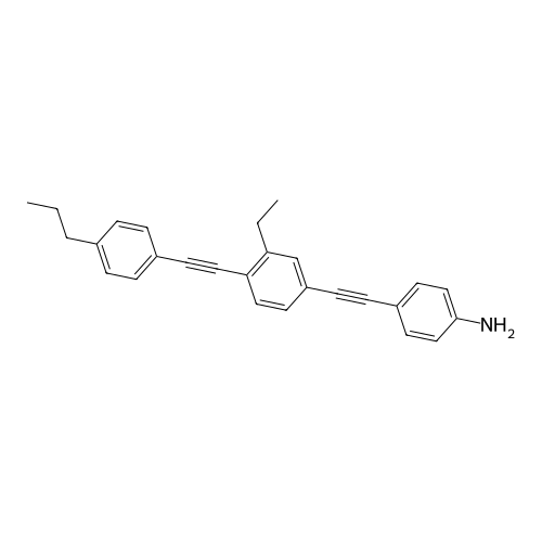 CCCc1ccc(C#Cc2ccc(C#Cc3ccc(N)cc3)cc2CC)cc1